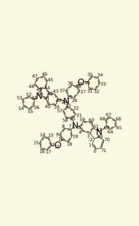 C1=CC2c3cc(N(c4ccc(Oc5ccccc5)cc4)c4ccc(N(c5ccc(Oc6ccccc6)cc5)c5ccc6c(c5)c5ccccc5n6-c5ccccc5)cc4)ccc3N(c3ccccc3)C2C=C1